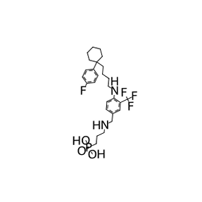 O=P(O)(O)CCCNCc1ccc(NCCCCC2(c3ccc(F)cc3)CCCCC2)c(C(F)(F)F)c1